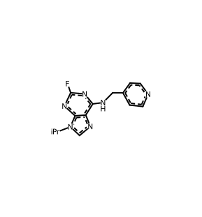 CC(C)n1cnc2c(NCc3ccncc3)nc(F)nc21